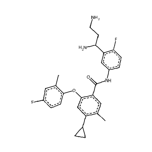 Cc1cc(F)ccc1Oc1cc(C2CC2)c(C)cc1C(=O)Nc1ccc(F)c(C(N)CCN)c1